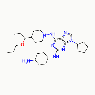 CCCOC(CC)C1CCN(Nc2nc(N[C@H]3CC[C@H](N)CC3)nc3c2ncn3C2CCCC2)CC1